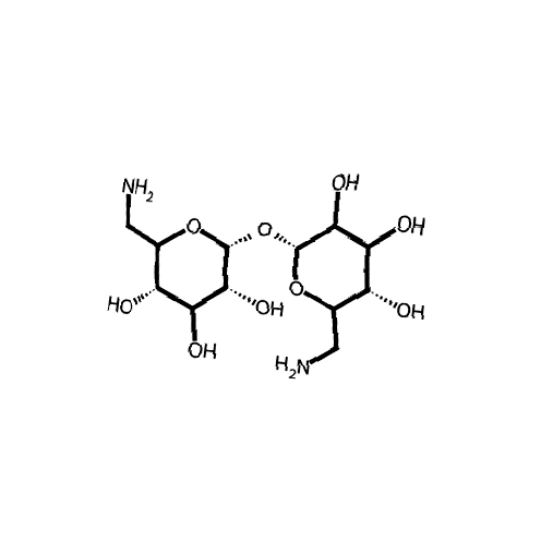 NCC1O[C@H](O[C@H]2OC(CN)[C@@H](O)C(O)[C@H]2O)C(O)C(O)[C@@H]1O